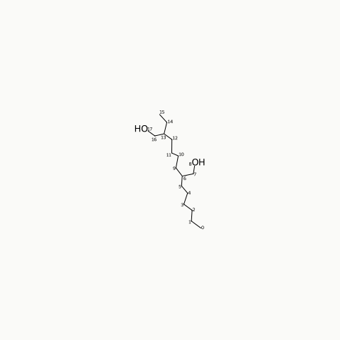 CCCCCCC(CO)CCCCC(CC)CO